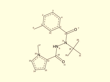 Cc1cccc(C(=O)N(NC(=O)c2cccn2C)C(C)(C)C)c1